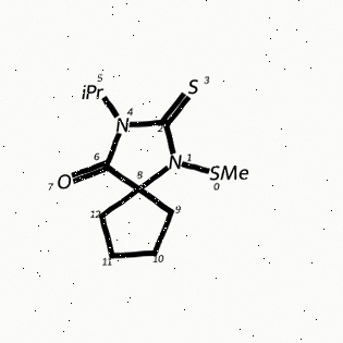 CSN1C(=S)N(C(C)C)C(=O)C12CCCC2